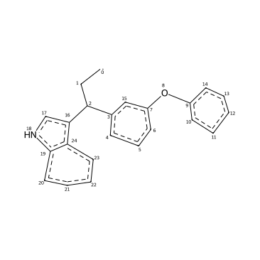 [CH2]CC(c1cccc(Oc2ccccc2)c1)c1c[nH]c2ccccc12